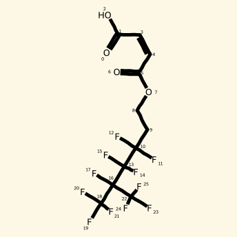 O=C(O)/C=C\C(=O)OCCC(F)(F)C(F)(F)C(F)(C(F)(F)F)C(F)(F)F